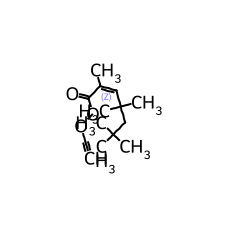 C#COOC(=O)/C(C)=C\C(C)(C)CC(C)(C)C